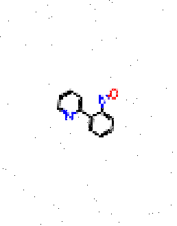 O=Nc1ccccc1-c1ccccn1